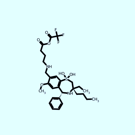 CCCC[C@]1(CC)CS(O)(O)c2cc(CNCCCC(=O)OC(=O)C(F)(F)F)c(OC)cc2[C@@H](c2ccccc2)N1